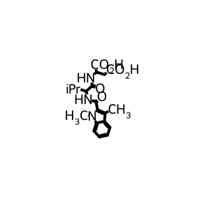 Cc1c(C(=O)NC(C(=O)NC(CC(=O)O)C(=O)O)C(C)C)n(C)c2ccccc12